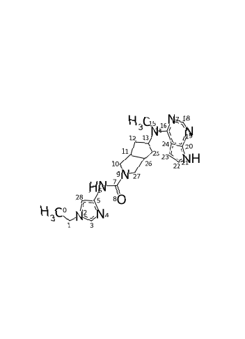 CCn1cnc(NC(=O)N2CC3CC(N(C)c4ncnc5[nH]ccc45)CC3C2)c1